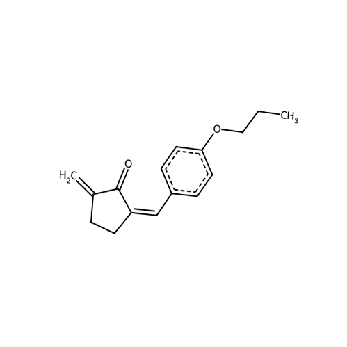 C=C1CCC(=Cc2ccc(OCCC)cc2)C1=O